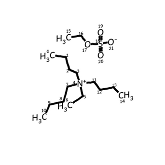 CCCC[N+](CC)(CCCC)CCCC.CCOS(=O)(=O)[O-]